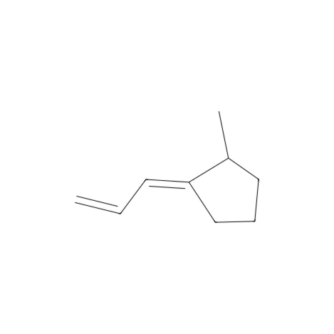 C=CC=C1CCCC1C